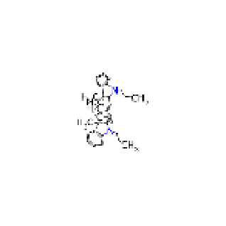 CCCN1/C(=C/C(C)=C/C2N(CCC)c3ccccc3C2(C)C)C(C)(C)c2ccccc21